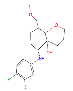 COCC1CCC(Nc2ccc(F)c(F)c2)C2(O)CCCOC12